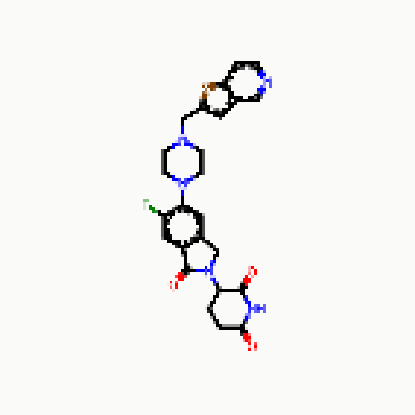 O=C1CCC(N2Cc3cc(N4CCN(Cc5cc6cnccc6s5)CC4)c(F)cc3C2=O)C(=O)N1